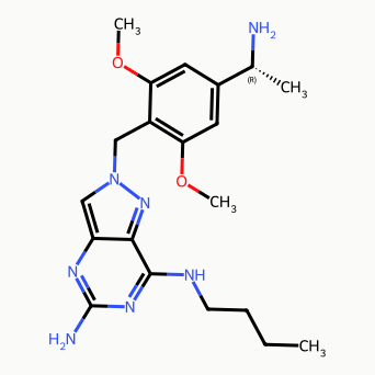 CCCCNc1nc(N)nc2cn(Cc3c(OC)cc([C@@H](C)N)cc3OC)nc12